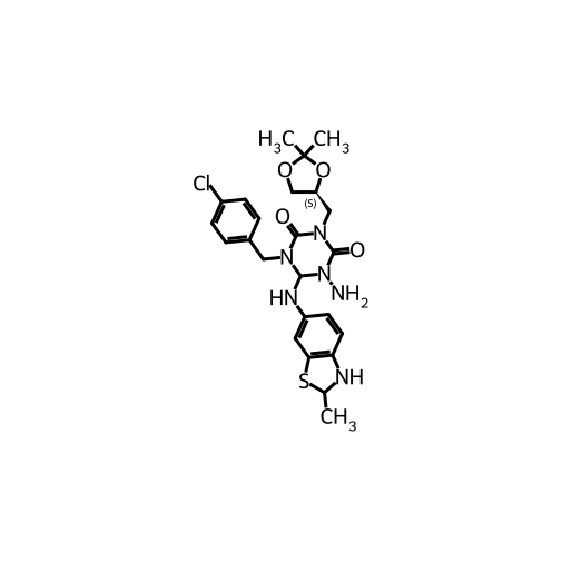 CC1Nc2ccc(NC3N(N)C(=O)N(C[C@H]4COC(C)(C)O4)C(=O)N3Cc3ccc(Cl)cc3)cc2S1